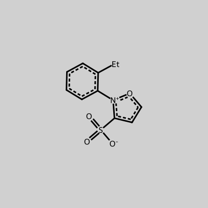 CCc1ccccc1-[n+]1occc1S(=O)(=O)[O-]